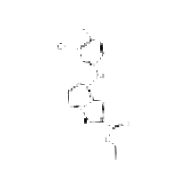 CCOC(=O)c1cc2c(Nc3ccc(F)c(Cl)c3)cccc2[nH]1